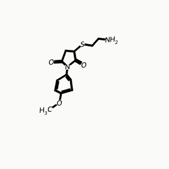 COc1ccc(N2C(=O)CC(SCCN)C2=O)cc1